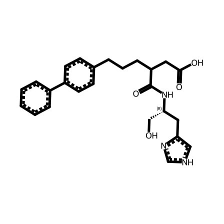 O=C(O)CC(CCCc1ccc(-c2ccccc2)cc1)C(=O)N[C@@H](CO)Cc1c[nH]cn1